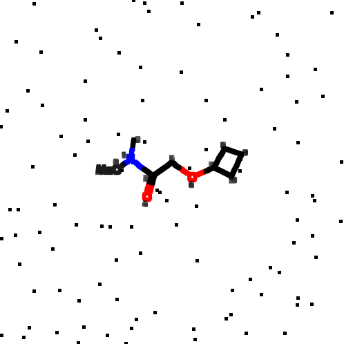 CON(C)C(=O)COC1CCC1